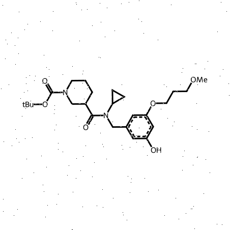 COCCCOc1cc(O)cc(CN(C(=O)C2CCCN(C(=O)OC(C)(C)C)C2)C2CC2)c1